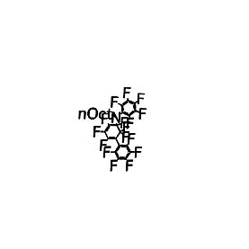 CCCCCCCCN(c1c(F)c(F)c(F)c(F)c1F)C1(F)C(F)=C(F)C(F)=C(c2c(F)c(F)c(F)c(F)c2F)C1(F)F